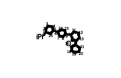 CC(C)c1cccc(-c2ccc(-c3cccc4c3oc3ccccc34)cc2)c1